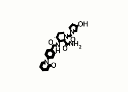 NC(=O)C1C(NC(=O)c2ccc(-n3ccccc3=O)cc2)[CH]CCN1C(=O)N1CCC(O)C1